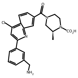 C[C@H]1CN(C(=O)c2ccc3c(Cl)cc(-c4cccc(CN)c4)nc3c2)CCN1C(=O)O